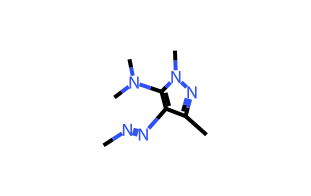 CN=Nc1c(C)nn(C)c1N(C)C